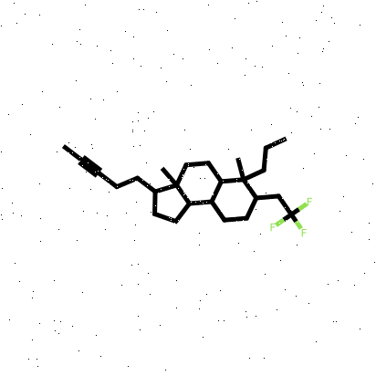 CC#CCCC1CCC2C3CCC(CC(F)(F)F)C(C)(CCC)C3CCC12C